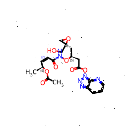 CC(=O)O[C@@H](C)/C=C\C(=O)NO[C@H](CC(=O)On1nnc2cccnc21)C[C@]1(CO)CO1